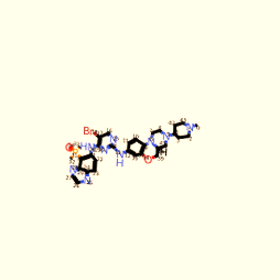 CN1CCC(N2CCN3c4ccc(Nc5ncc(Br)c(Nc6ccc7nccnc7c6P(C)(C)=O)n5)cc4OC[C@H]3C2)CC1